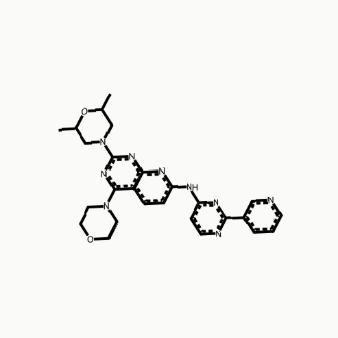 CC1CN(c2nc(N3CCOCC3)c3ccc(Nc4ccnc(-c5cccnc5)n4)nc3n2)CC(C)O1